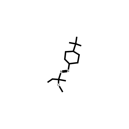 CCC(C)(/N=N/C1CCC(C(C)(C)C)CC1)OC